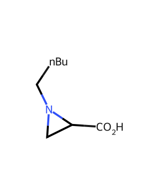 CCCCCN1CC1C(=O)O